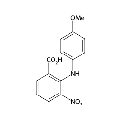 COc1ccc(Nc2c(C(=O)O)cccc2[N+](=O)[O-])cc1